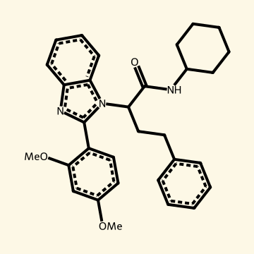 COc1ccc(-c2nc3ccccc3n2C(CCc2ccccc2)C(=O)NC2CCCCC2)c(OC)c1